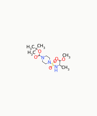 COC(=O)[C@@H](C)NS(=O)(=O)N1CCN(C(=O)OC(C)(C)C)CC1